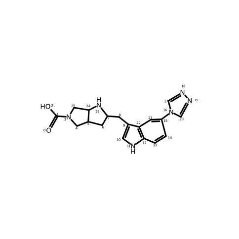 O=C(O)N1CC2CC(Cc3c[nH]c4ccc(-n5cnnc5)cc34)NC2C1